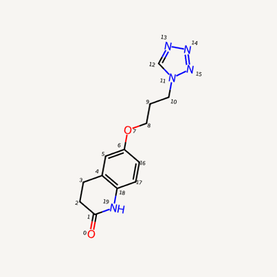 O=C1CCc2cc(OCCCn3cnnn3)ccc2N1